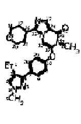 CCc1cn(C)nc1-c1ccc(Oc2cn3c(C4CCOCC4)ncc3c(=O)n2C)cc1